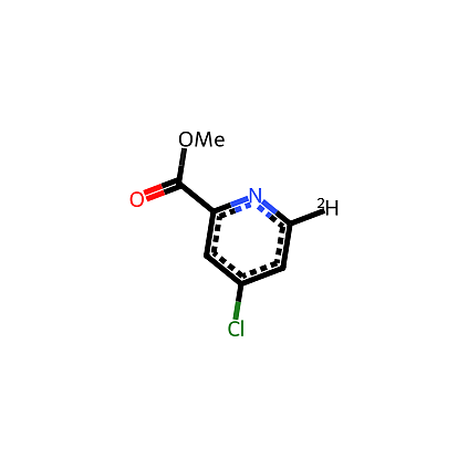 [2H]c1cc(Cl)cc(C(=O)OC)n1